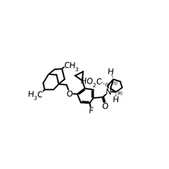 CC1CC2CC(C)CC(COc3cc(F)c(C(=O)N4[C@@H]5CC[C@@H](C5)[C@H]4C(=O)O)cc3C3CC3)(C1)C2